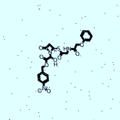 O=C(COc1ccccc1)NCC(=O)S[C@@H]1CC(=O)N1C(O)C(=O)OCc1ccc([N+](=O)[O-])cc1